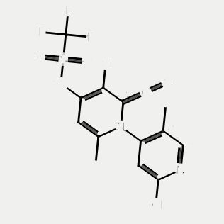 CC1=CC(OS(=O)(=O)C(F)(F)F)=C(Cl)C(=C=O)N1c1cc(Cl)ncc1C